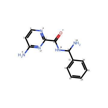 Nc1ccnc(C(=O)NC(N)c2ccccc2)n1